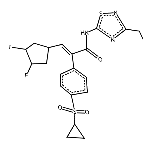 CCc1nsc(NC(=O)/C(=C/C2CC(F)C(F)C2)c2ccc(S(=O)(=O)C3CC3)cc2)n1